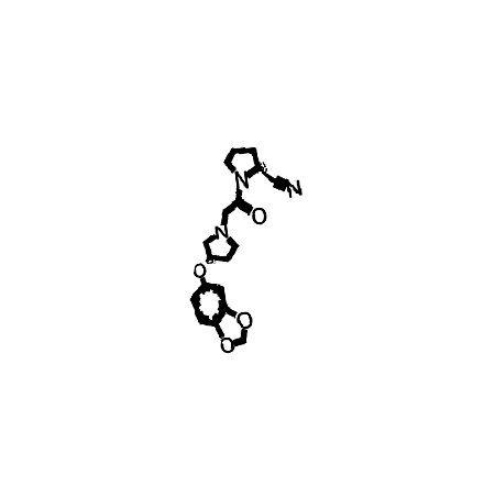 N#C[C@@H]1CCCN1C(=O)CN1CC[C@H](Oc2ccc3c(c2)OCO3)C1